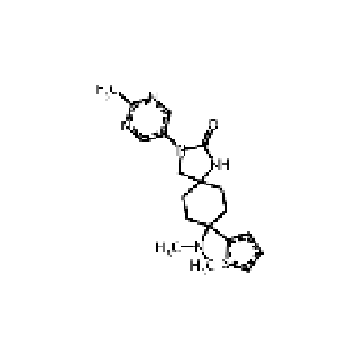 CN(C)C1(c2cccs2)CCC2(CC1)CN(c1cnc(C(F)(F)F)nc1)C(=O)N2